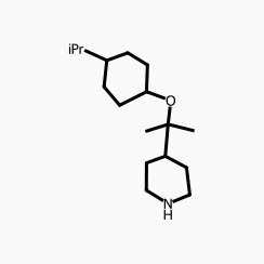 CC(C)C1CCC(OC(C)(C)C2CCNCC2)CC1